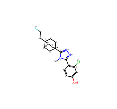 Cn1c(-c2ccc(O)cc2Cl)nnc1C12CCC(CCF)(CC1)CC2